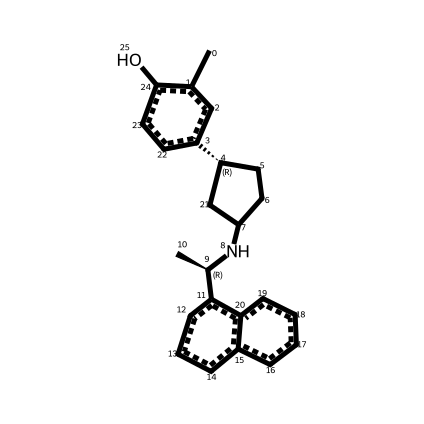 Cc1cc([C@@H]2CCC(N[C@H](C)c3cccc4ccccc34)C2)ccc1O